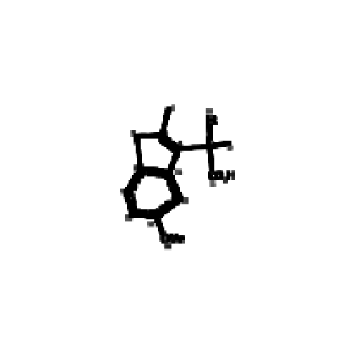 CCC(C)(C(=O)O)C1=C(C)Cc2ccc(OC)cc21